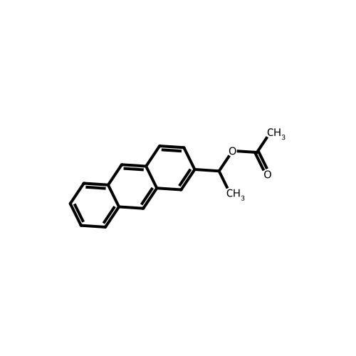 CC(=O)OC(C)c1ccc2cc3ccccc3cc2c1